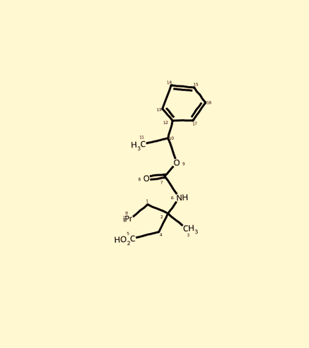 CC(C)CC(C)(CC(=O)O)NC(=O)OC(C)c1ccccc1